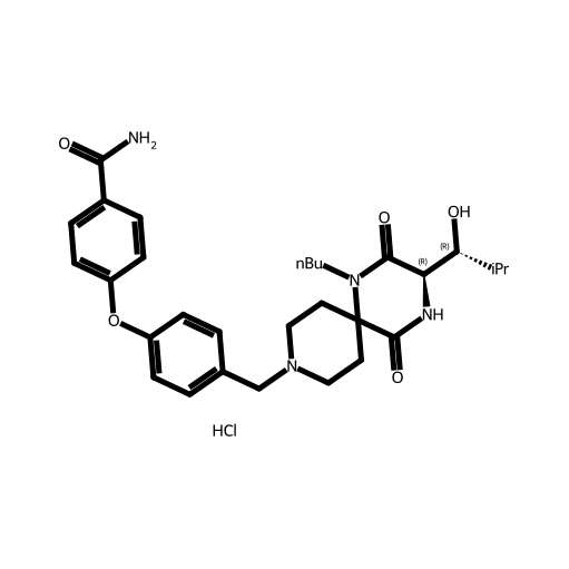 CCCCN1C(=O)[C@@H]([C@H](O)C(C)C)NC(=O)C12CCN(Cc1ccc(Oc3ccc(C(N)=O)cc3)cc1)CC2.Cl